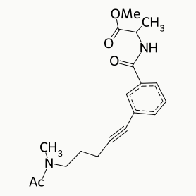 COC(=O)C(C)NC(=O)c1cccc(C#CCCCN(C)C(C)=O)c1